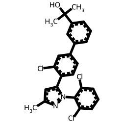 Cc1cc(-c2ccc(-c3cccc(C(C)(C)O)c3)cc2Cl)n(-c2c(Cl)cccc2Cl)n1